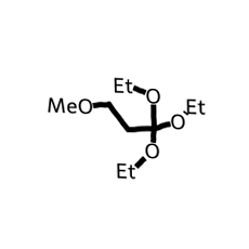 CCOC(CCOC)(OCC)OCC